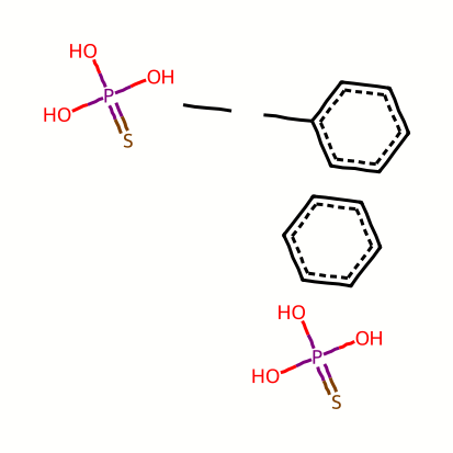 CC.Cc1ccccc1.OP(O)(O)=S.OP(O)(O)=S.c1ccccc1